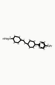 CCCCCCCC1CCC(CCC2CCC(c3ncc(CCC)cn3)CC2)CC1